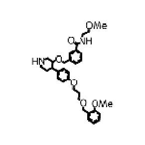 COCCNC(=O)c1cccc(COC2CNCCC2c2ccc(OCCCOCc3ccccc3OC)cc2)c1